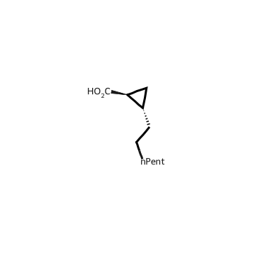 CCCCCCC[C@H]1C[C@@H]1C(=O)O